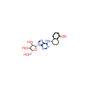 OC[C@H]1O[C@@H](n2cnc3c(NC4CCCc5c(O)cccc54)ncnc32)C(O)C1O